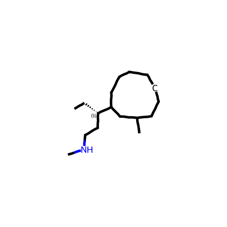 CC[C@@H](CCNC)C1CCCCCCCC(C)C1